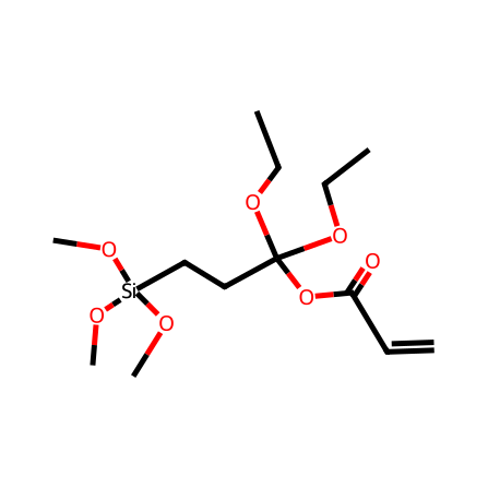 C=CC(=O)OC(CC[Si](OC)(OC)OC)(OCC)OCC